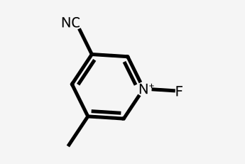 Cc1cc(C#N)c[n+](F)c1